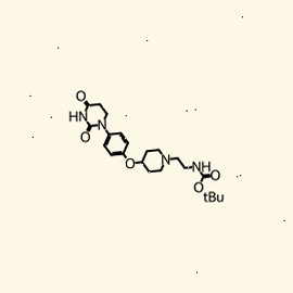 CC(C)(C)OC(=O)NCCN1CCC(Oc2ccc(N3CCC(=O)NC3=O)cc2)CC1